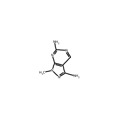 Cn1nc(N)c2cnc(N)nc21